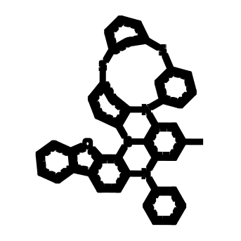 Cc1cc2c3c(c1)N(c1ccccc1)c1ccc4c(oc5ccccc54)c1B3c1ccc3cc1N2c1cccc(c1)Sc1cccc(c1)S3